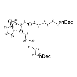 CCCCCCCCCCCCCCCCOCC(C[N+]1(C)CCCC1)OCCCCCCCCCCCCCCCC